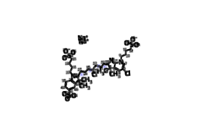 CC1(C)C2=CC(Cl)=CN(CCCCS(=O)(=O)[O-])C2=N/C1=C/C=C/C(Cl)=C/C=C/C1=[N+](CCCCS(=O)(=O)[O-])c2ccc(S(=O)(=O)[O-])cc2C1(C)C.[Na+].[Na+]